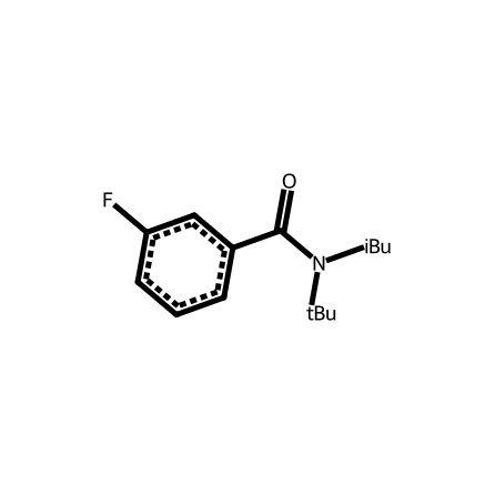 CCC(C)N(C(=O)c1cccc(F)c1)C(C)(C)C